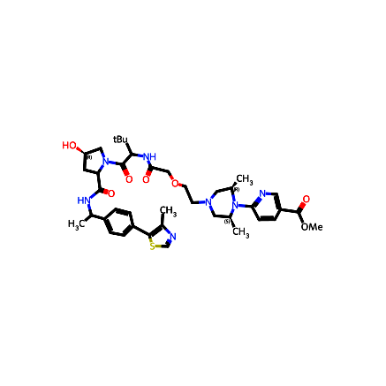 COC(=O)c1ccc(N2[C@H](C)CN(CCOCC(=O)NC(C(=O)N3C[C@H](O)CC3C(=O)NC(C)c3ccc(-c4scnc4C)cc3)C(C)(C)C)C[C@@H]2C)nc1